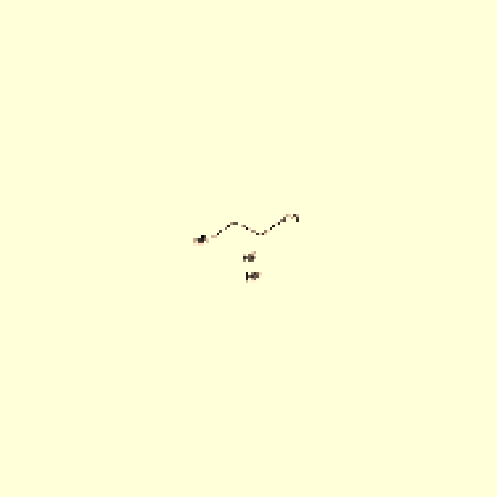 CCCCCCCC.F.F